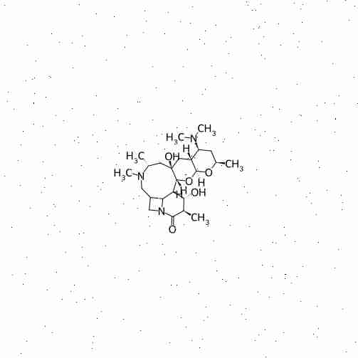 C[C@@H]1C[C@H](N(C)C)[C@H]2C[C@@]3(O)C[C@@H](C)N(C)CC4CN5C(=O)[C@H](C)[C@@H](O)[C@H](C45)[C@H]3O[C@@H]2O1